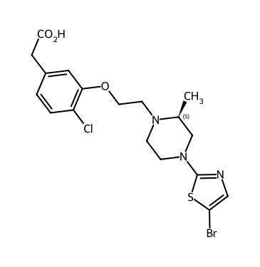 C[C@H]1CN(c2ncc(Br)s2)CCN1CCOc1cc(CC(=O)O)ccc1Cl